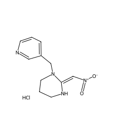 Cl.O=[N+]([O-])C=C1NCCCN1Cc1cccnc1